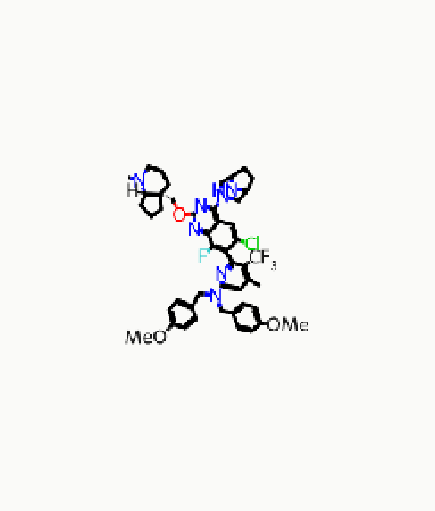 COc1ccc(CN(Cc2ccc(OC)cc2)c2cc(C)c(C(F)(F)F)c(-c3c(Cl)cc4c(N5CC6CCC(C5)N6)nc(OC[C@]56CCC[C@H]5N(C)CCC6)nc4c3F)n2)cc1